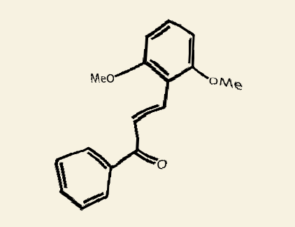 COc1cccc(OC)c1/C=C/C(=O)c1ccccc1